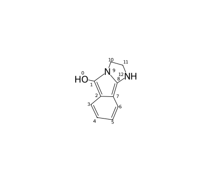 Oc1c2ccccc2c2n1CCN2